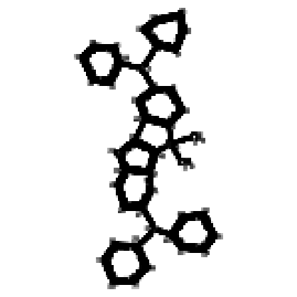 C[Si]1(C)c2ccc(N(c3ccccc3)c3ccccc3)cc2-c2oc3ccc(N(c4ccccc4)c4ccccc4)cc3c21